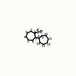 [Se]=C1CCCCCC1C1CCCCCC1